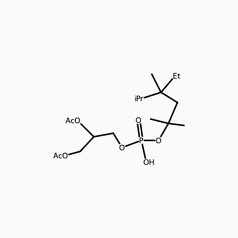 CCC(C)(CC(C)(C)OP(=O)(O)OCC(COC(C)=O)OC(C)=O)C(C)C